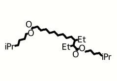 CCC(CCCCCCCCCC(=O)OCCCCC(C)C)C(CC)C(=O)OCCCCC(C)C